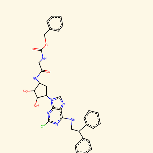 O=C(CNC(=O)OCc1ccccc1)NC1CC(n2cnc3c(NCC(c4ccccc4)c4ccccc4)nc(Cl)nc32)C(O)C1O